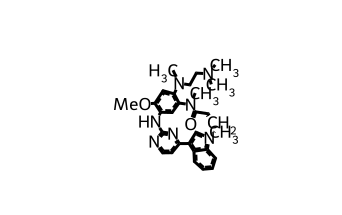 C=CC(=O)N(C)c1cc(Nc2nccc(-c3cn(C)c4ccccc34)n2)c(OC)cc1N(C)CCN(C)C